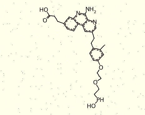 Cc1cc(OCCOCCPO)ccc1CCc1cnc2c(N)nc3cc(CCC(=O)O)ccc3c2c1